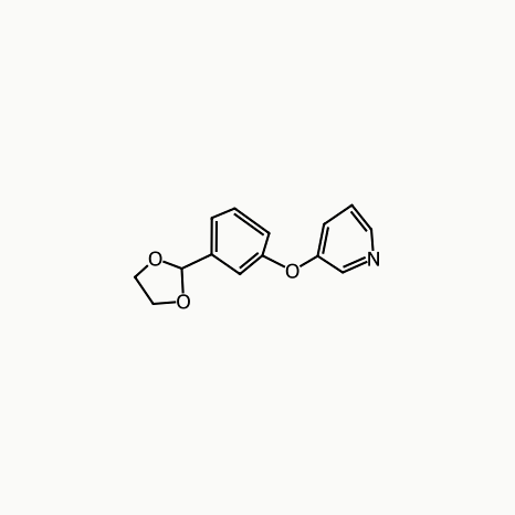 c1cncc(Oc2cccc(C3OCCO3)c2)c1